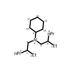 CCCC(CC)[CH2][Al]([CH2]C(CC)CCC)[CH]1CCCCC1